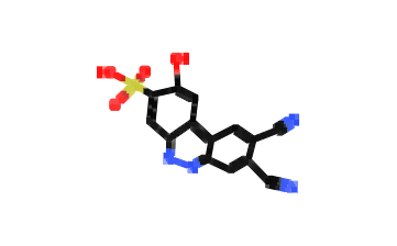 N#Cc1cc2nnc3cc(S(=O)(=O)O)c(O)cc3c2cc1C#N